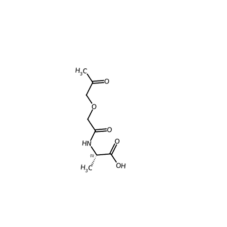 CC(=O)COCC(=O)N[C@@H](C)C(=O)O